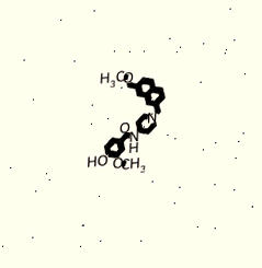 COCc1ccc2ccc(CN3CCC(NC(=O)c4ccc(O)c(OC)c4)CC3)cc2c1